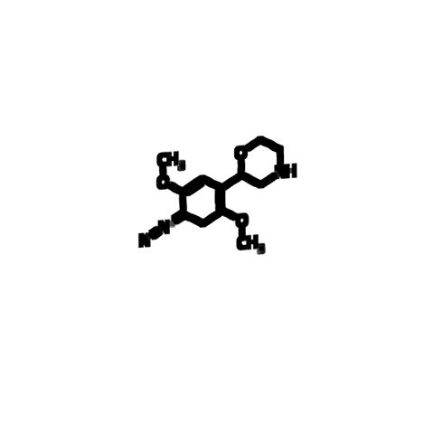 COC1=CC(C2CNCCO2)=C(OC)CC1=[N+]=[N-]